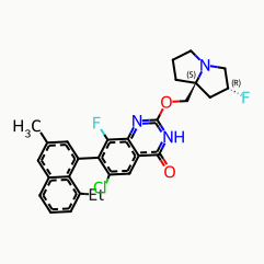 CCc1cccc2cc(C)cc(-c3c(Cl)cc4c(=O)[nH]c(OC[C@@]56CCCN5C[C@H](F)C6)nc4c3F)c12